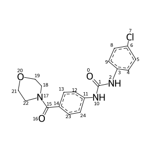 O=C(Nc1ccc(Cl)cc1)Nc1ccc(C(=O)N2CCOCC2)cc1